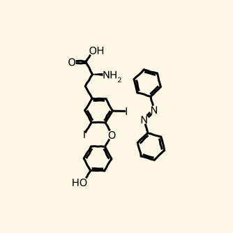 N[C@@H](Cc1cc(I)c(Oc2ccc(O)cc2)c(I)c1)C(=O)O.c1ccc(N=Nc2ccccc2)cc1